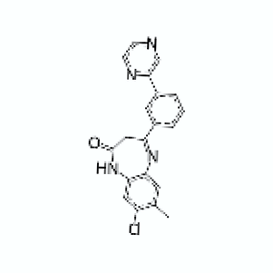 Cc1cc2c(cc1Cl)NC(=O)CC(c1cccc(-c3cnccn3)c1)=N2